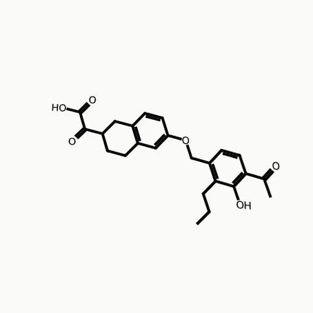 CCCc1c(COc2ccc3c(c2)CCC(C(=O)C(=O)O)C3)ccc(C(C)=O)c1O